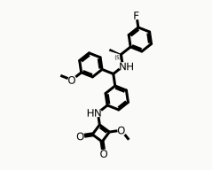 COc1cccc(C(N[C@@H](C)c2cccc(F)c2)c2cccc(Nc3c(OC)c(=O)c3=O)c2)c1